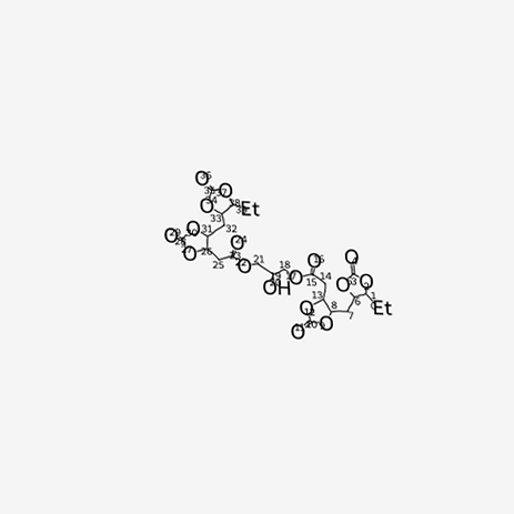 CCC1OC(=O)OC1CC1OC(=O)OC1CC(=O)OCC(O)COC(=O)CC1OC(=O)OC1CC1OC(=O)OC1CC